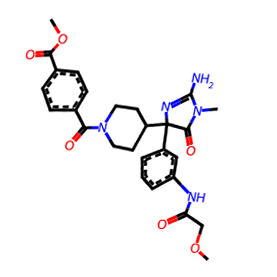 COCC(=O)Nc1cccc(C2(C3CCN(C(=O)c4ccc(C(=O)OC)cc4)CC3)N=C(N)N(C)C2=O)c1